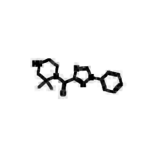 CC1(C)CNCCN1C(=O)c1ncn(-c2ccccc2)n1